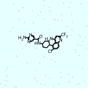 Nc1ncc(C(=O)NC2CCC(c3c(Cl)ccc4nc(C(F)(F)F)cc(N)c34)CC2)cn1